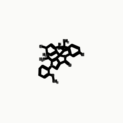 COc1ccccc1-n1cc2c(c1C(C)C)C1(C(=O)NC3=CC(Cl)CC=C31)N(c1cc(Cl)ccc1C(N)=O)C2=O